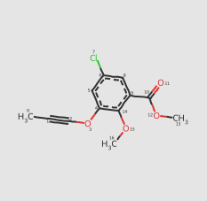 CC#COc1cc(Cl)cc(C(=O)OC)c1OC